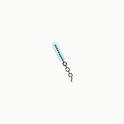 CCCC1CCC(C2CCC(c3ccc(C(F)(F)C(F)(F)C(F)(F)C(F)(F)C(F)(F)C(F)(F)C(F)(F)C(F)(F)C(F)(F)F)cc3)CC2)CC1